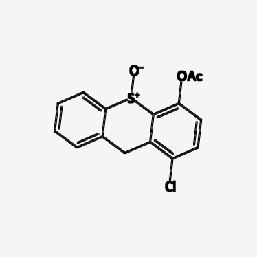 CC(=O)Oc1ccc(Cl)c2c1[S+]([O-])c1ccccc1C2